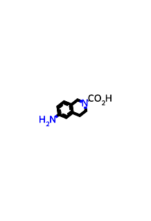 Nc1ccc2c(c1)CCN(C(=O)O)C2